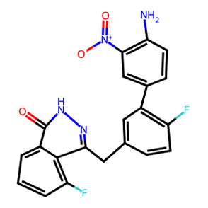 Nc1ccc(-c2cc(Cc3n[nH]c(=O)c4cccc(F)c34)ccc2F)cc1[N+](=O)[O-]